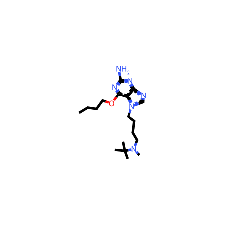 CCCCOc1nc(N)nc2ncn(CCCCN(C)C(C)(C)C)c12